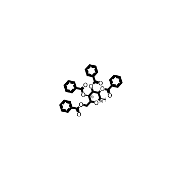 O=C(OCC1O[C@H](I)C(OC(=O)c2ccccc2)C(OC(=O)c2ccccc2)[C@@H]1OC(=O)c1ccccc1)c1ccccc1